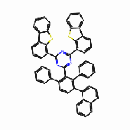 c1ccc(-c2ccc(-c3cccc4ccccc34)c(-c3ccccc3)c2-c2nc(-c3cccc4c3sc3ccccc34)nc(-c3cccc4c3sc3ccccc34)n2)cc1